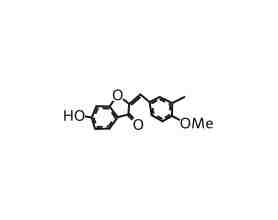 COc1ccc(C=C2Oc3cc(O)ccc3C2=O)cc1C